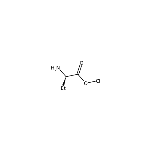 CC[C@@H](N)C(=O)OCl